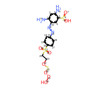 Nc1cc(N)c(S(=O)O)cc1/N=N/c1ccc(S(=O)(=O)CCOSOOO)cc1